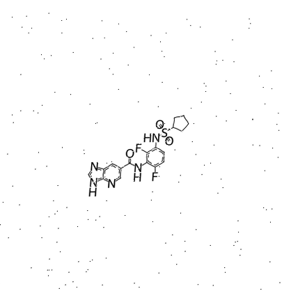 O=C(Nc1c(F)ccc(NS(=O)(=O)C2CCCC2)c1F)c1cnc2[nH]cnc2c1